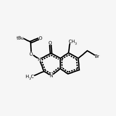 Cc1c(CBr)ccc2nc(C)n(OC(=O)C(C)(C)C)c(=O)c12